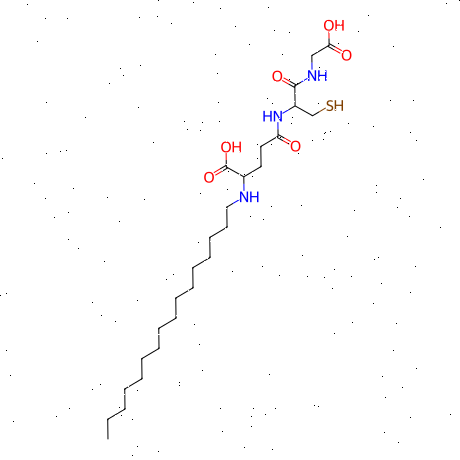 CCCCCCCCCCCCCCCCNC(CCC(=O)NC(CS)C(=O)NCC(=O)O)C(=O)O